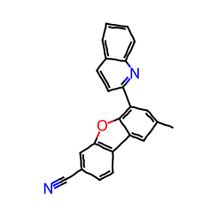 Cc1cc(-c2ccc3ccccc3n2)c2oc3cc(C#N)ccc3c2c1